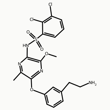 COc1nc(Oc2cccc(CCN)c2)c(C)nc1NS(=O)(=O)c1cccc(Cl)c1Cl